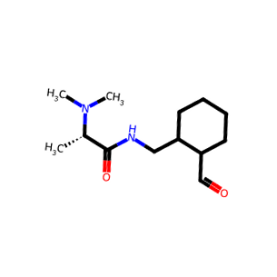 C[C@@H](C(=O)NCC1CCCCC1C=O)N(C)C